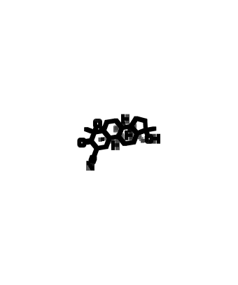 CC12OC13CC[C@@H]1[C@@H](CC[C@@]4(C)[C@H]1CCC4(C)O)[C@@]3(C)CC(C#N)C2=O